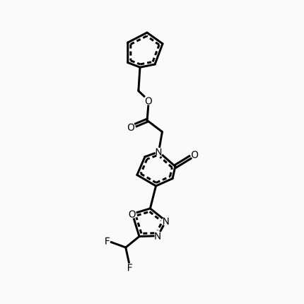 O=C(Cn1ccc(-c2nnc(C(F)F)o2)cc1=O)OCc1ccccc1